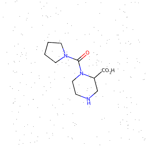 O=C(O)C1CNCCN1C(=O)N1CCCC1